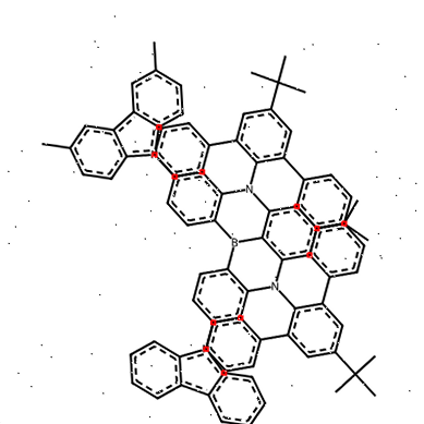 Cc1ccc2c(c1)c1cc(C)ccc1n2-c1ccc2c(c1)N(c1c(-c3ccccc3)cc(C(C)(C)C)cc1-c1ccccc1)c1cc(C(C)C)cc3c1B2c1ccc(-n2c4ccccc4c4ccccc42)cc1N3c1c(-c2ccccc2)cc(C(C)(C)C)cc1-c1ccccc1